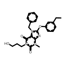 CCc1cccc(Oc2nc3c(c(=O)n(CCCO)c(=O)n3C)n2Cc2ccccc2)c1